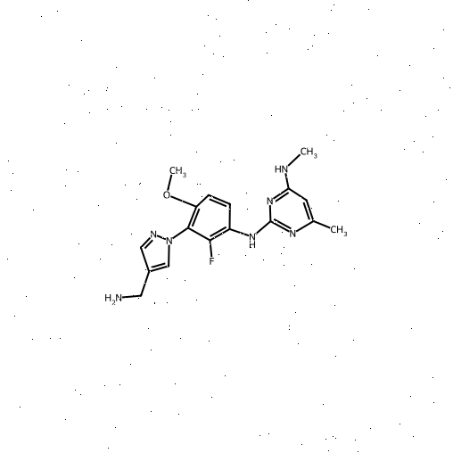 CNc1cc(C)nc(Nc2ccc(OC)c(-n3cc(CN)cn3)c2F)n1